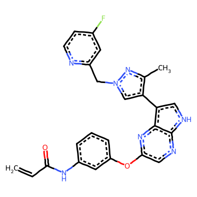 C=CC(=O)Nc1cccc(Oc2cnc3[nH]cc(-c4cn(Cc5cc(F)ccn5)nc4C)c3n2)c1